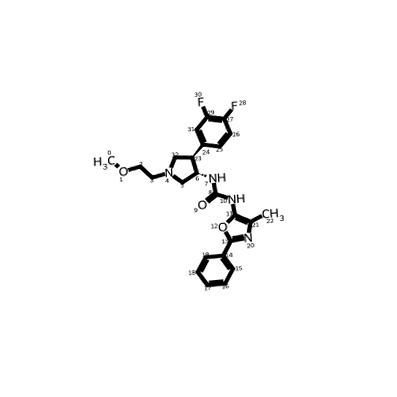 COCCN1C[C@@H](NC(=O)Nc2oc(-c3ccccc3)nc2C)[C@H](c2ccc(F)c(F)c2)C1